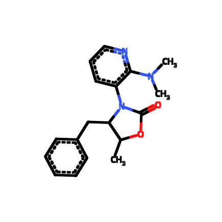 CC1OC(=O)N(c2cccnc2N(C)C)C1Cc1ccccc1